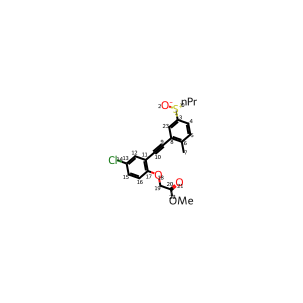 CCC[S+]([O-])c1ccc(C)c(C#Cc2cc(Cl)ccc2OCC(=O)OC)c1